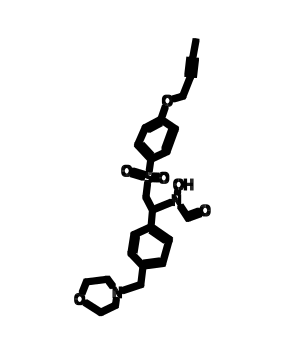 CC#CCOc1ccc(S(=O)(=O)CC(c2ccc(CN3CCOCC3)cc2)N(O)C=O)cc1